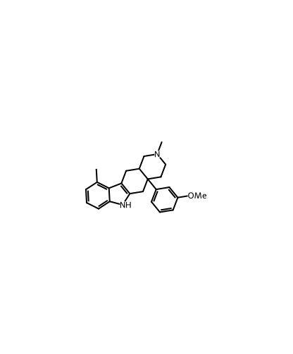 COc1cccc(C23CCN(C)CC2Cc2c([nH]c4cccc(C)c24)C3)c1